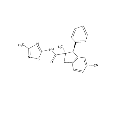 Cc1nsc(NC(=O)[C@]2(C)Cc3ccc(C#N)cc3[C@@H]2c2ccccc2)n1